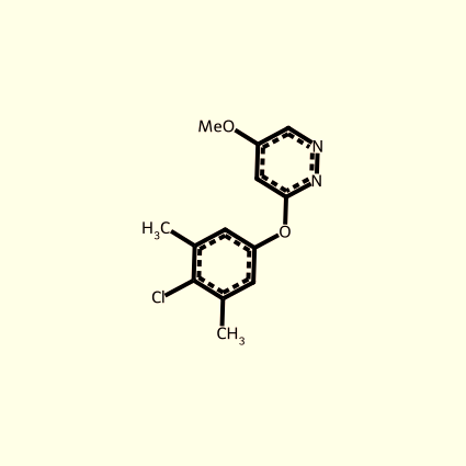 COc1cnnc(Oc2cc(C)c(Cl)c(C)c2)c1